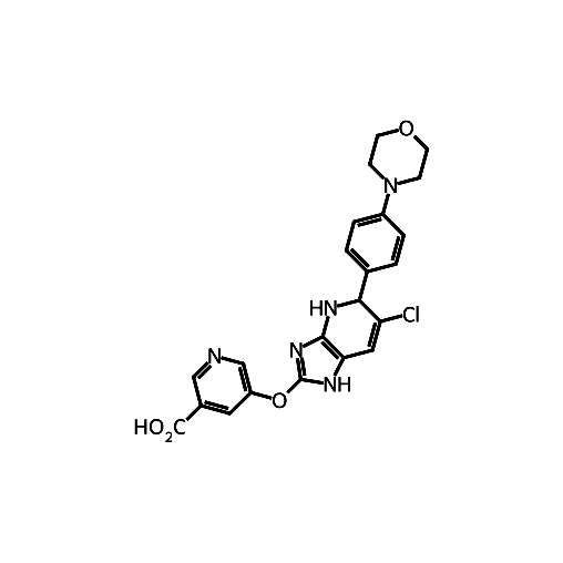 O=C(O)c1cncc(Oc2nc3c([nH]2)C=C(Cl)C(c2ccc(N4CCOCC4)cc2)N3)c1